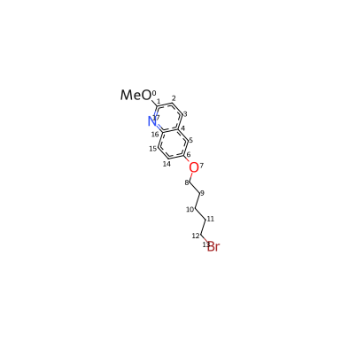 COc1ccc2cc(OCCCCCBr)ccc2n1